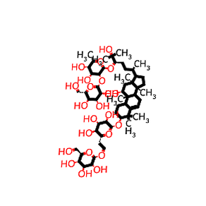 C[C@H](CC[C@@H](O[C@@H]1O[C@H](C)[C@@H](O)[C@H](O)[C@H]1O[C@H]1O[C@@H](CO)[C@H](O)[C@@H](O)[C@@H]1O)C(C)(C)O)C1CC[C@@]2(C)C3CC=C4C(CC[C@H](O[C@@H]5O[C@H](CCO[C@H]6O[C@H](CO)[C@@H](O)[C@H](O)[C@H]6O)[C@@H](O)[C@H](O)[C@H]5O)C4(C)C)[C@]3(C)[C@H](O)C[C@]12C